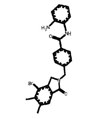 Cc1cc2c(c(Br)c1C)CN(Cc1ccc(C(=O)Nc3ccccc3N)cc1)C2=O